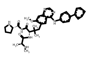 CN[C@@H](C)C(=O)N[C@H](C(=O)NC(=O)[C@@H]1CCCN1)C(C)(C)Cc1cc2c(Nc3ccc(-c4ccccc4)cc3)ncnc2cc1OC